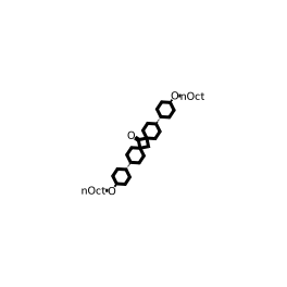 CCCCCCCCO[C@H]1CC[C@H](C2CCC3(CC2)CC2(CCC([C@H]4CC[C@H](OCCCCCCCC)CC4)CC2)C3=O)CC1